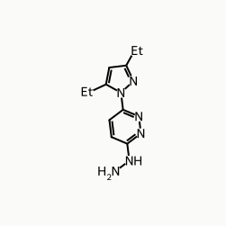 CCc1cc(CC)n(-c2ccc(NN)nn2)n1